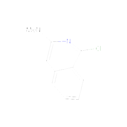 CNc1cc2ccccc2c(Cl)n1